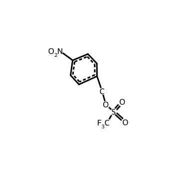 O=[N+]([O-])c1ccc(COS(=O)(=O)C(F)(F)F)cc1